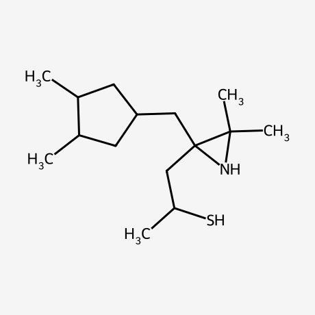 CC(S)CC1(CC2CC(C)C(C)C2)NC1(C)C